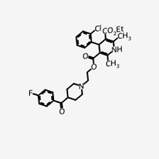 CCOC(=O)C1=C(C)NC(C)=C(C(=O)OCCN2CCC(C(=O)c3ccc(F)cc3)CC2)C1c1ccccc1Cl